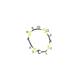 C1CSCCSCCSCCS1